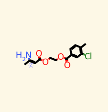 C/C(N)=C/C(=O)OCCOC(=O)c1ccc(C)c(Cl)c1